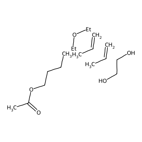 C=CC.C=CC.CCCCOC(C)=O.CCOCC.OCCO